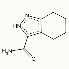 NC(=O)c1[nH]nc2c1CCCC2